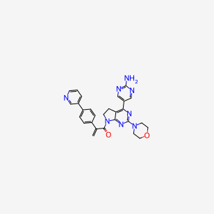 C=C(C(=O)N1CCc2c(-c3cnc(N)nc3)nc(N3CCOCC3)nc21)c1ccc(-c2cccnc2)cc1